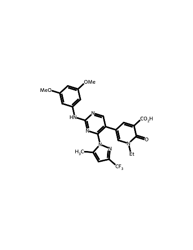 CCn1cc(-c2cnc(Nc3cc(OC)cc(OC)c3)nc2-n2nc(C(F)(F)F)cc2C)cc(C(=O)O)c1=O